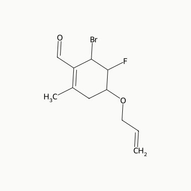 C=CCOC1CC(C)=C(C=O)C(Br)C1F